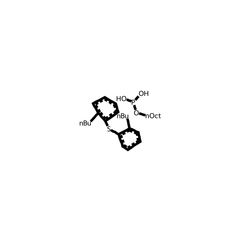 CCCCCCCCOP(O)O.CCCCc1ccccc1Sc1ccccc1CCCC